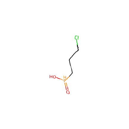 O=[PH](O)CCCCl